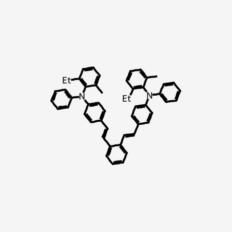 CCc1cccc(C)c1N(c1ccccc1)c1ccc(/C=C/c2ccccc2/C=C/c2ccc(N(c3ccccc3)c3c(C)cccc3CC)cc2)cc1